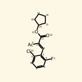 CC(=O)C(=Cc1c(F)cccc1Cl)C(=O)OC1CCCC1